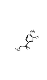 N#Cc1cc(C(=O)CO)ccc1N